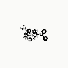 Cc1nnn([C@@]2(OC(=O)C(F)(F)F)CC[C@H](n3cnc4c(NCC(c5ccccc5)c5ccccc5)nc(N[C@@H]5CCNC5)nc43)[C@@H]2O)n1